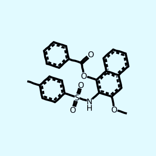 COc1cc2ccccc2c(OC(=O)c2ccccc2)c1NS(=O)(=O)c1ccc(C)cc1